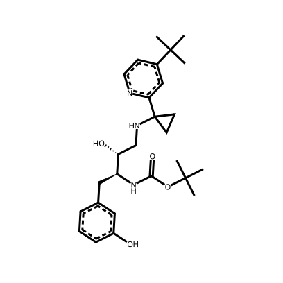 CC(C)(C)OC(=O)N[C@@H](Cc1cccc(O)c1)[C@H](O)CNC1(c2cc(C(C)(C)C)ccn2)CC1